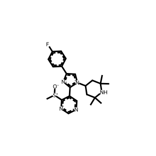 C[S+]([O-])c1ncncc1-c1nc(-c2ccc(F)cc2)cn1C1CC(C)(C)NC(C)(C)C1